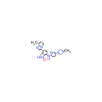 Cc1cccn2c(-c3ccc(Nc4ccc(N5CCN(C)CC5)cn4)c4c3CNC4=O)cnc12